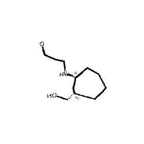 [O]CCN[C@H]1CCCC[C@@H]1CO